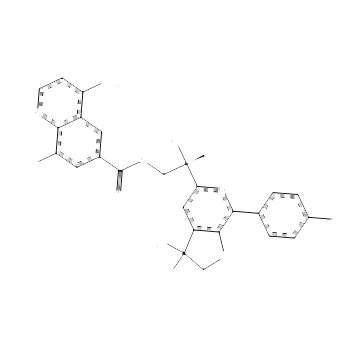 Cc1ccnc2c(O)cc(C(=O)NC[C@](O)(c3cc4c(c(-c5ccc(F)cc5)n3)OCC4(C)C)C(F)(F)F)cc12